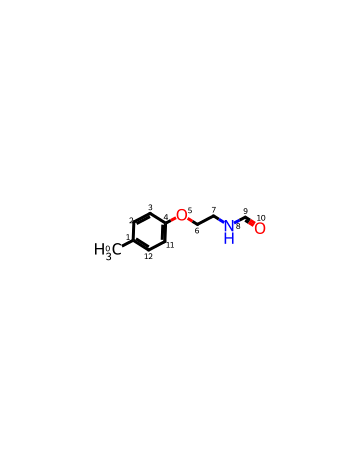 Cc1ccc(OCCNC=O)cc1